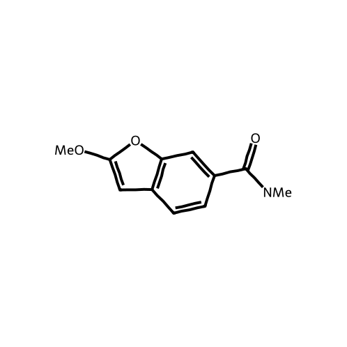 CNC(=O)c1ccc2cc(OC)oc2c1